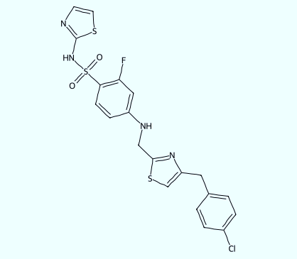 O=S(=O)(Nc1nccs1)c1ccc(NCc2nc(Cc3ccc(Cl)cc3)cs2)cc1F